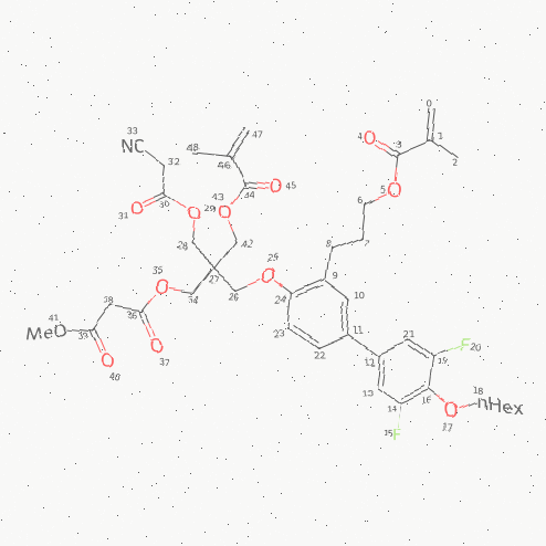 C=C(C)C(=O)OCCCc1cc(-c2cc(F)c(OCCCCCC)c(F)c2)ccc1OCC(COC(=O)CC#N)(COC(=O)CC(=O)OC)COC(=O)C(=C)C